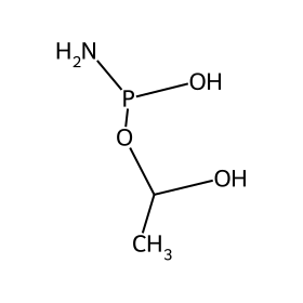 CC(O)OP(N)O